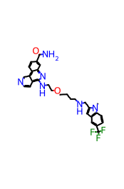 Cn1c(CNCCCCOCCNc2nc3cc(C(N)=O)ccc3c3cnccc23)cc2cc(C(F)(F)F)ccc21